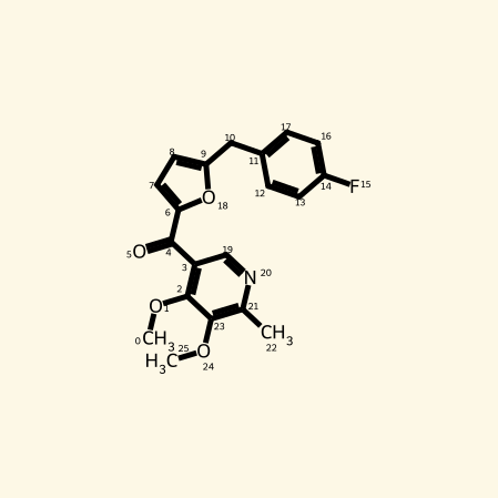 COc1c(C(=O)c2ccc(Cc3ccc(F)cc3)o2)cnc(C)c1OC